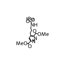 COC(=O)c1cc(CCCNC(=O)OC(C)(C)C)c(C(=O)OC)nn1